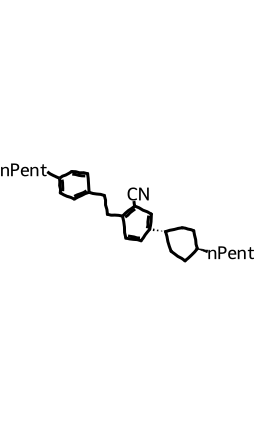 CCCCCc1ccc(CCc2ccc([C@H]3CC[C@H](CCCCC)CC3)cc2C#N)cc1